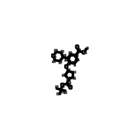 COC(=O)c1ccc(O[C@H]2CCN(C(=O)OC(C)(C)C)C2)c(C2CCOCC2)c1